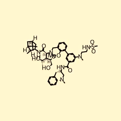 COc1c(CN2O[C@@H](CO)[C@@H]([C@H](C)O)[C@H]2C(=O)NC2C[C@H]3C[C@@H]([C@@H]2C)C3(C)C)cccc1-c1cc(C(=O)N[C@@H](Cc2ccccc2)CN(C)C)cc(N(C)CCNS(C)(=O)=O)c1